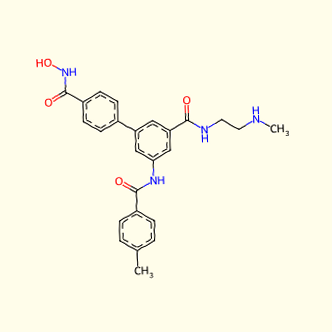 CNCCNC(=O)c1cc(NC(=O)c2ccc(C)cc2)cc(-c2ccc(C(=O)NO)cc2)c1